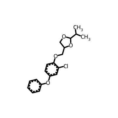 CC(C)C1OCC(COc2ccc(Oc3ccccc3)cc2Cl)O1